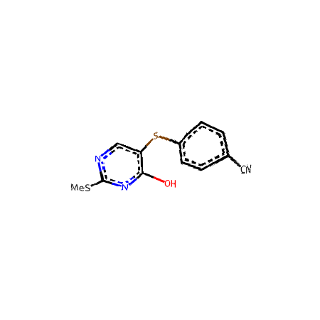 CSc1ncc(Sc2ccc(C#N)cc2)c(O)n1